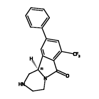 O=C1c2c(cc(-c3ccccc3)cc2C(F)(F)F)[C@@H]2CNCCN12